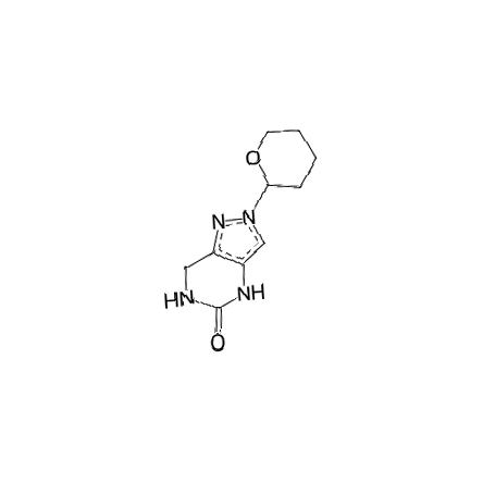 O=C1NCc2nn(C3CCCCO3)cc2N1